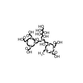 CCN1CCN(CC(=O)O)CCN(CC(=O)O)CCN(CC(O)CN(CC(O)CN2CCN(CC(=O)O)CCN(CC(=O)O)CCN(CC(=O)O)CC2)CC(O)C(O)C(O)C(O)CO)CC1